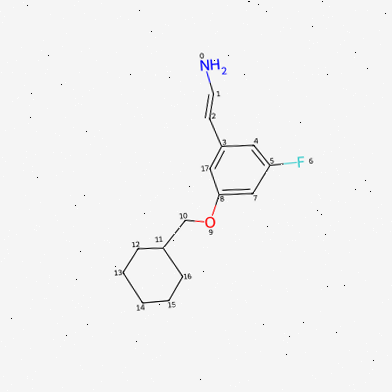 N/C=C/c1cc(F)cc(OCC2CCCCC2)c1